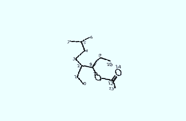 CCC(CCC(C)C)C(CC)OC(C)=O